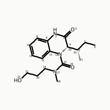 CC[C@H](C)[C@H]1C(=O)Nc2ccccc2N1C(=O)N(C)CCCO